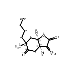 C=C1C(=O)O[C@@H]2C[C@@](C)(CCCC(C)=O)C(=O)C[C@H]12